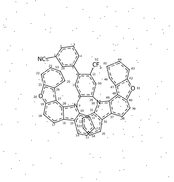 N#Cc1cccc(-c2cc(-n3c4ccccc4c4ccc5oc6ccccc6c5c43)c(-n3c4ccccc4c4ccc5oc6ccccc6c5c43)cc2C(F)(F)F)c1